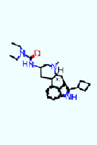 CCN(CC)C(=O)NC1CC2c3cccc4[nH]c(C5CCC5)c(c34)C[C@H]2N(C)C1